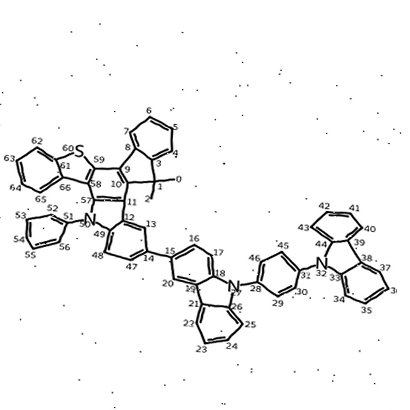 CC1(C)c2ccccc2-c2c1c1c3cc(-c4ccc5c(c4)c4ccccc4n5-c4ccc(-n5c6ccccc6c6ccccc65)cc4)ccc3n(-c3ccccc3)c1c1c2sc2ccccc21